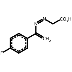 C=C(/N=N\CC(=O)O)c1ccc(F)cc1